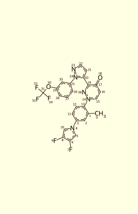 Cc1cc(-n2cc(F)c(F)c2)ccc1-n1ccc(=O)c(-c2ccnn2-c2cccc(OC(F)(F)F)c2)n1